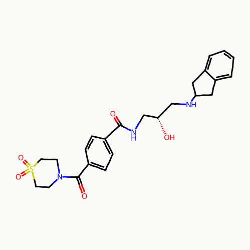 O=C(NC[C@@H](O)CNC1Cc2ccccc2C1)c1ccc(C(=O)N2CCS(=O)(=O)CC2)cc1